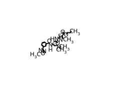 CCCOC(=O)c1sc(NC(=O)C[C@H](CCN(C)C)NC(=O)c2cccc(-c3noc(C)n3)c2)nc1C